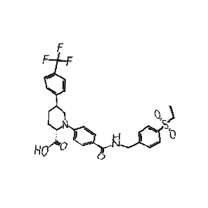 CCS(=O)(=O)c1ccc(CNC(=O)c2ccc(N3CC(c4ccc(C(F)(F)F)cc4)CC[C@H]3C(=O)O)cc2)cc1